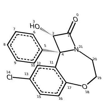 O=C1[C@@H](O)[C@]2(c3ccccc3)c3cc(Cl)ccc3OCCN12